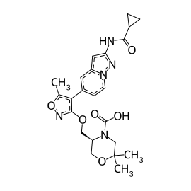 Cc1onc(OC[C@@H]2COC(C)(C)CN2C(=O)O)c1-c1ccn2nc(NC(=O)C3CC3)cc2c1